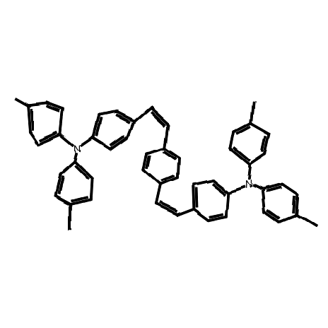 Cc1ccc(N(c2ccc(C)cc2)c2ccc(/C=C\c3ccc(/C=C\c4ccc(N(c5ccc(C)cc5)c5ccc(C)cc5)cc4)cc3)cc2)cc1